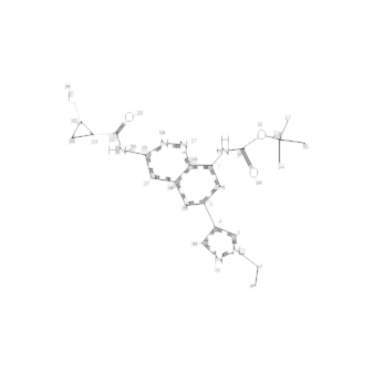 CCn1cc(-c2cc(NC(=O)OC(C)(C)C)c3nnc(NC(=O)[C@@H]4C[C@@H]4F)cc3c2)cn1